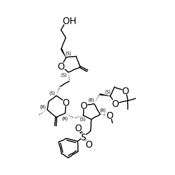 C=C1C[C@H](CCCO)O[C@H]1CC[C@H]1C[C@@H](C)C(=C)[C@@H](C[C@@H]2O[C@H](C[C@H]3COC(C)(C)O3)[C@H](OC)C2CS(=O)(=O)c2ccccc2)O1